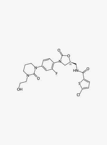 O=C(NC[C@H]1CN(c2ccc(N3CCCN(CCO)C3=O)cc2F)C(=O)O1)c1ccc(Cl)s1